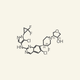 O[C@@H]1COC[C@@H]1N1CC[C@H](c2cc3nc(Nc4cnn(C5CC5(F)F)c4Cl)ncc3cc2Cl)[C@@H](F)C1